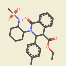 CCOC(=O)C1c2ccccc2C(=O)N(C2CCCCC2NS(C)(=O)=O)C1c1ccc(C)cc1